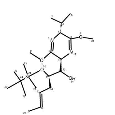 COC1=N[C@H](C(C)C)C(OC)=N[C@H]1C(O)[C@@H](C/C=C/I)O[Si](C)(C)C(C)(C)C